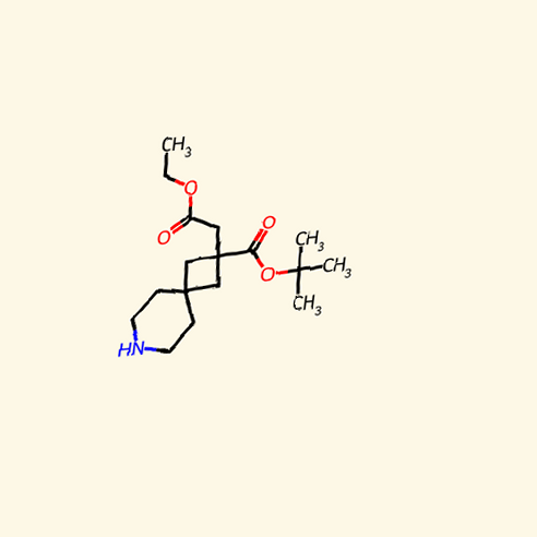 CCOC(=O)CC1(C(=O)OC(C)(C)C)CC2(CCNCC2)C1